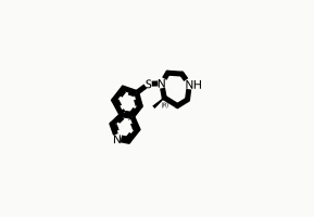 C[C@@H]1CCNCCN1Sc1ccc2cnccc2c1